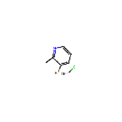 Cc1ncccc1Br.O=CCl